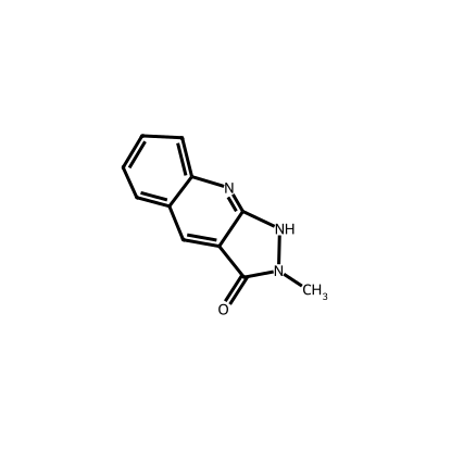 Cn1[nH]c2nc3ccccc3cc2c1=O